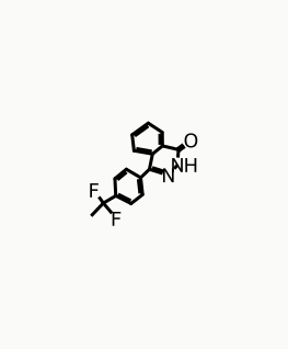 CC(F)(F)c1ccc(-c2n[nH]c(=O)c3ccccc23)cc1